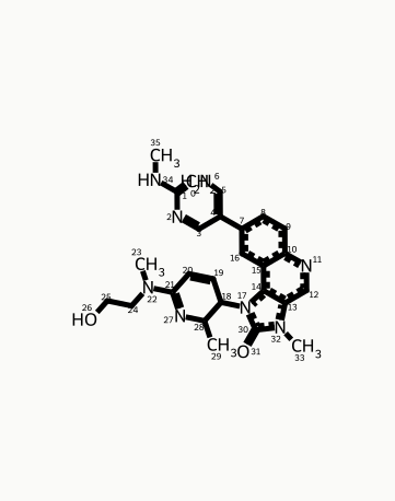 C=C(/N=C\C(=C/N)c1ccc2ncc3c(c2c1)n(C1C=CC(N(C)CCO)=NC1C)c(=O)n3C)NC